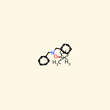 C[Si](C)(C)ON(Cc1ccccc1)Cc1ccccc1